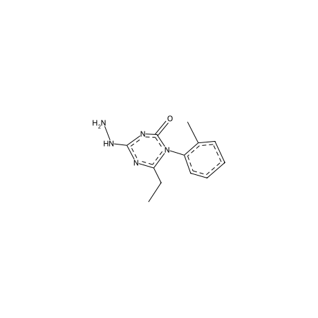 CCc1nc(NN)nc(=O)n1-c1ccccc1C